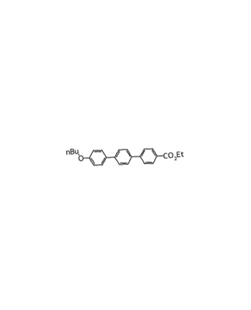 CCCCOc1ccc(-c2ccc(-c3ccc(C(=O)OCC)cc3)cc2)cc1